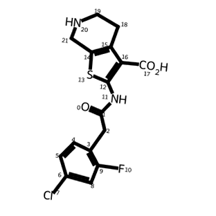 O=C(Cc1ccc(Cl)cc1F)Nc1sc2c(c1C(=O)O)CCNC2